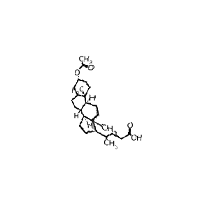 CC(=O)O[C@@H]1CC[C@@]2(C)C(CC[C@H]3[C@@H]4CC[C@H]([C@H](C)CCC(=O)O)[C@@]4(C)CC[C@@H]32)C1